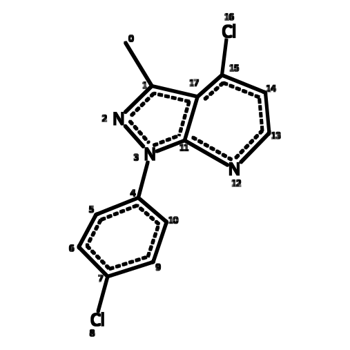 Cc1nn(-c2ccc(Cl)cc2)c2nccc(Cl)c12